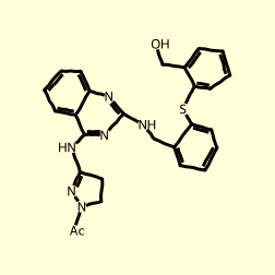 CC(=O)N1CCC(Nc2nc(NCc3ccccc3Sc3ccccc3CO)nc3ccccc23)=N1